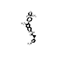 Cc1cc2cnc(NC(=O)[C@@H]3C[C@H]3c3ccn(C)n3)cc2cc1N1CCN([C@]2(C)COC[C@@H]2F)CC1